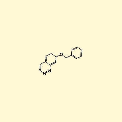 C1=c2ccnnc2=CC(OCc2ccccc2)C1